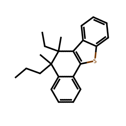 CCCC1(C)c2ccccc2-c2sc3ccccc3c2C1(C)CC